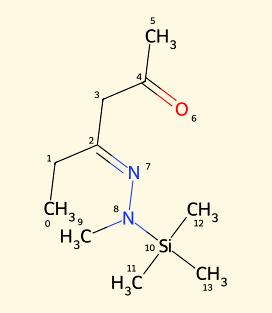 CCC(CC(C)=O)=NN(C)[Si](C)(C)C